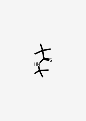 CC(C)(C)NC(=S)C(C)(C)C